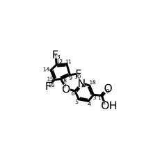 O=C(O)c1ccc(Oc2c(F)cc(F)cc2F)nc1